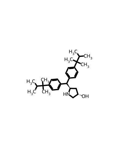 CC(C)C(C)(C)c1ccc(C(c2ccc(C(C)(C)C(C)C)cc2)[C@H]2C[C@H](O)CN2)cc1